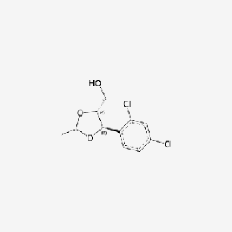 CC1O[C@H](c2ccc(Cl)cc2Cl)[C@@H](CO)O1